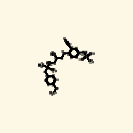 COc1ccc(CC(C)(C)NC[C@@H](O)COc2ccc(NS(C)(=O)=O)cc2C#N)cc1